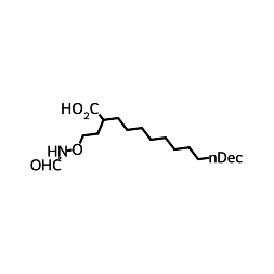 CCCCCCCCCCCCCCCCCCC(CCONC=O)C(=O)O